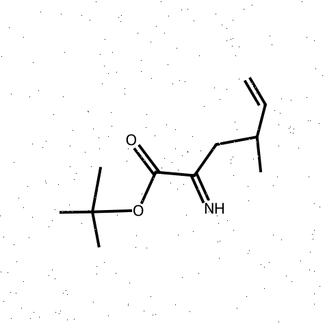 C=CC(C)CC(=N)C(=O)OC(C)(C)C